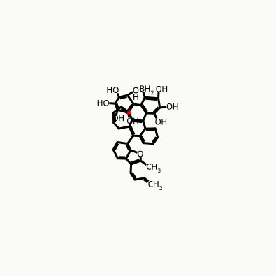 Bc1c(O)c(O)c(O)c(-c2c3c(c(-c4cccc5c(/C=C\C=C)c(C)oc45)c4ccccc24)CC=CC=C3)c1-c1c(O)c(O)c(O)c(O)c1O